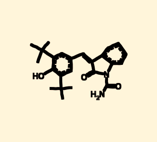 CC(C)(C)c1cc(C=C2C(=O)N(C(N)=O)c3ccccc32)cc(C(C)(C)C)c1O